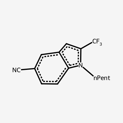 CCCCCn1c(C(F)(F)F)cc2cc(C#N)ccc21